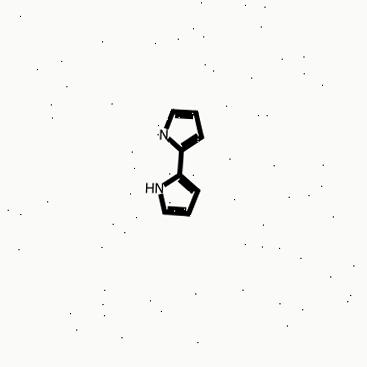 C1=C[N]C(c2ccc[nH]2)=C1